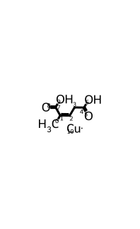 CC(=CCC(=O)O)C(=O)O.[Cu]